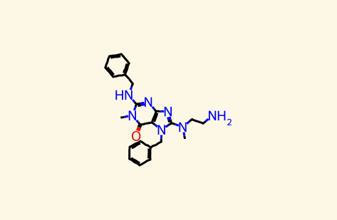 CN(CCN)c1nc2nc(NCc3ccccc3)n(C)c(=O)c2n1Cc1ccccc1